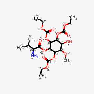 CCOC(=O)OC1C(O)C(OC)C(OC(=O)OCC)C(OC(=O)[C@@H](N)C(C)C)C1OC(=O)OCC